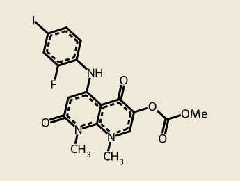 COC(=O)Oc1cn(C)c2c(c(Nc3ccc(I)cc3F)cc(=O)n2C)c1=O